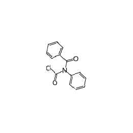 O=C(Cl)N(C(=O)c1ccccc1)c1ccccc1